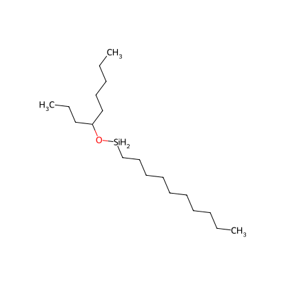 CCCCCCCCCC[SiH2]OC(CCC)CCCCC